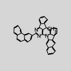 CC12c3ccccc3-c3nc(-c4ccc5ccc6ccccc6c5c4)nc(c31)-n1c3cc4ccccc4cc3c3cccc2c31